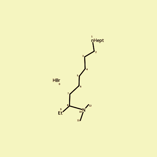 Br.CCCCCCCCCCCCCC(CC)N(C)C